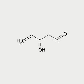 C=C[C@@H](O)C[C]=O